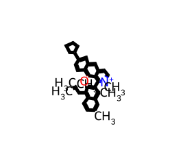 Cc1ccc2c(CC(C)(C)C)c3c(c(C)c2c1)-c1c2c(c4ccc(C5CCCC5)cc4cc2cc[n+]1C)O3